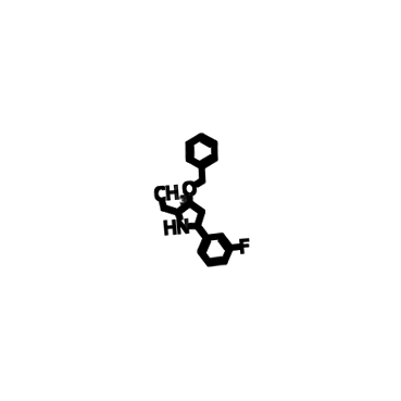 CCC1NC(c2cccc(F)c2)CC1OCc1ccccc1